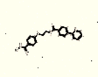 O=C(NO)c1ccc(OCCNC(=O)c2ccc(-c3ccccn3)cc2)cc1